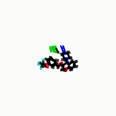 Cl.Cl.FC(F)(F)Oc1cccc(CO[C@H]2COc3ccccc3[C@@H]2N2CCNCC2)c1